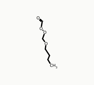 CCCCOCOO[C]=O